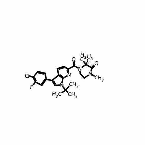 CN1CCN(C(=O)c2ccc3c(-c4ccc(Cl)c(F)c4)cn(C(C)(C)C)c3n2)C(C)(C)C1=O